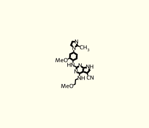 COCCNc1nc(Nc2ccc(-n3ccnc3C)cc2OC)nc2[nH]cc(C#N)c12